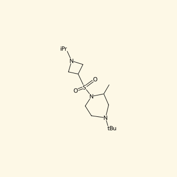 CC(C)N1CC(S(=O)(=O)N2CCN(C(C)(C)C)CC2C)C1